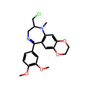 COc1ccc(C2=NCC(CCl)N(C)c3cc4c(cc32)OCCO4)cc1OC